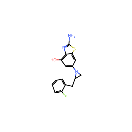 Nc1nc2c(O)cc(N3CC3Cc3ccccc3F)cc2s1